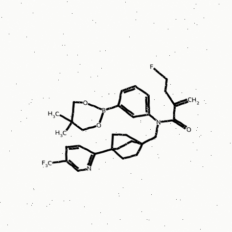 C=C(CCF)C(=O)N(CC12CCC(c3ccc(C(F)(F)F)cn3)(CC1)CC2)c1cccc(B2OCC(C)(C)CO2)c1